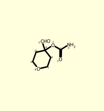 NC(=O)OC1(C=O)CCOCC1